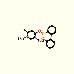 Cc1cc(OP2Oc3ccccc3-c3ccccc32)c(C(C)(C)C)cc1C(C)(C)C